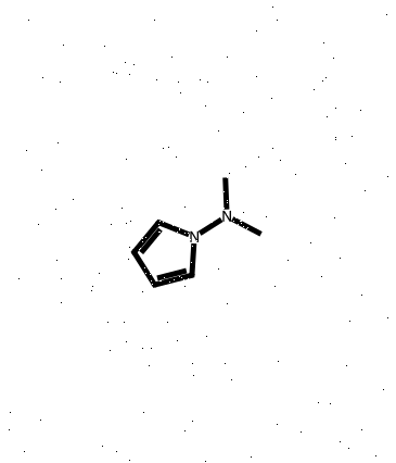 CN(C)n1cccc1